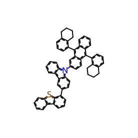 c1cc2c(c(-c3c4ccccc4c(-c4cccc5c4CCCC5)c4cc(-n5c6ccccc6c6cc(-c7cccc8c7sc7ccccc78)ccc65)ccc34)c1)CCCC2